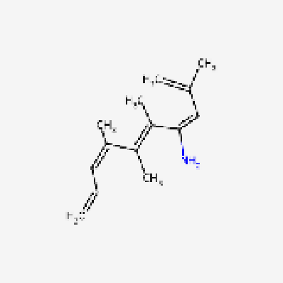 C=C\C=C(C)/C(C)=C(C)/C(N)=C\C(=C)C